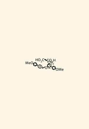 COc1ccc(-c2nc(C)cc(OCCN3CCN(c4ccc(OC)cc4)CC3)n2)cc1.O=C(O)C=CC(=O)O